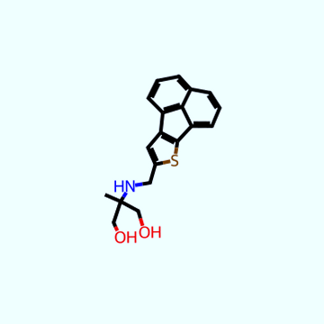 CC(CO)(CO)NCc1cc2c(s1)-c1cccc3cccc-2c13